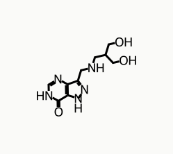 O=c1[nH]cnc2c(CNCC(CO)CO)n[nH]c12